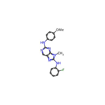 COc1ccc(Nc2ncc3nc(Nc4ccccc4F)n(C)c3n2)cc1